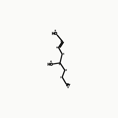 CC(C)CCC(O)CC=CO